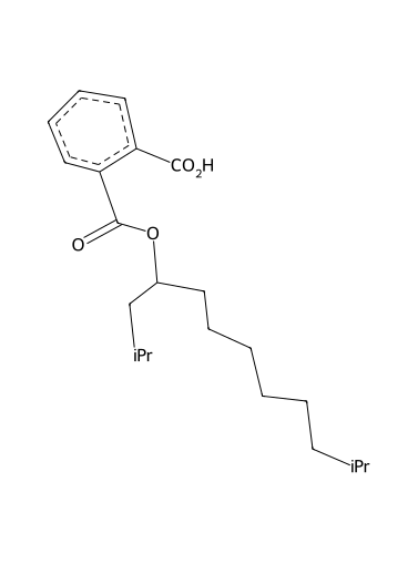 CC(C)CCCCCCC(CC(C)C)OC(=O)c1ccccc1C(=O)O